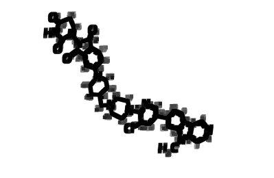 Cn1c2ccncc2c2ccc(-c3cnc(N4CCN(CC5CCN(c6ccc7c(c6)C(=O)N(N6CCC(=O)NC6=O)C7=O)CC5)CC4)c(Cl)c3)cc21